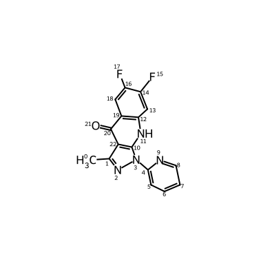 Cc1nn(-c2ccccn2)c2[nH]c3cc(F)c(F)cc3c(=O)c12